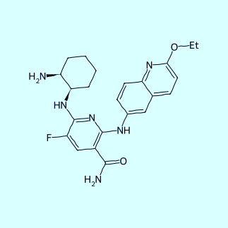 CCOc1ccc2cc(Nc3nc(N[C@@H]4CCCC[C@@H]4N)c(F)cc3C(N)=O)ccc2n1